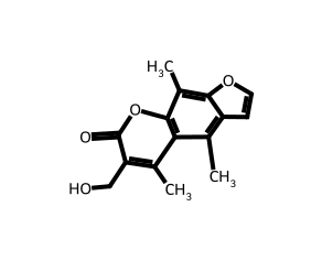 Cc1c2occc2c(C)c2c(C)c(CO)c(=O)oc12